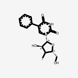 O=c1[nH]c(=O)n([C@@H]2O[C@H](CO)C(I)[C@H]2O)cc1-c1ccccc1